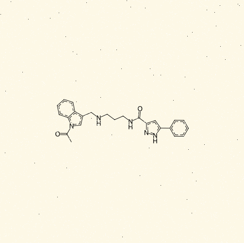 CC(=O)n1cc(CNCCCNC(=O)c2cc(-c3ccccc3)[nH]n2)c2ccccc21